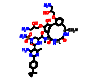 Cc1nc(-c2ccc(C3(C)CC3)cc2)nc(N)c1C(=O)NC(CNS(N)(=O)=O)C(=O)N(C)[C@@H]1C(=O)N[C@@H](C)C(=O)N[C@H](C(=O)O)Cc2ccc(OCC(O)CN)c(c2)-c2cc1cc(OCC(O)CN)c2O